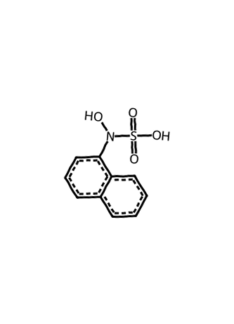 O=S(=O)(O)N(O)c1cccc2ccccc12